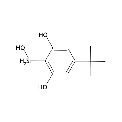 CC(C)(C)c1cc(O)c([SiH2]O)c(O)c1